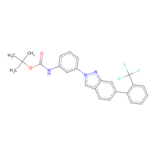 CC(C)(C)OC(=O)Nc1cccc(-n2cc3ccc(-c4ccccc4C(F)(F)F)cc3n2)c1